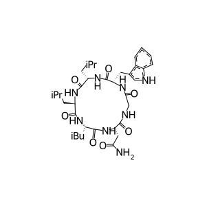 CC[C@@H](C)[C@@H]1NC(=O)[C@@H](CC(C)C)NC(=O)[C@H](CC(C)C)NC(=O)[C@H](Cc2c[nH]c3ccccc23)NC(=O)CNC(=O)[C@H](CC(N)=O)NC1=O